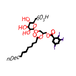 CCCCCCCCCCCCCCCCCC(=O)OC(COC(=O)c1cc(I)cc(I)c1I)COC1OC(CS(=O)(=O)O)C(O)C(O)C1O